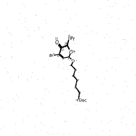 CCCCCCCCCCCCCCCCOC1C=C(Br)C(=O)C(CCC)O1